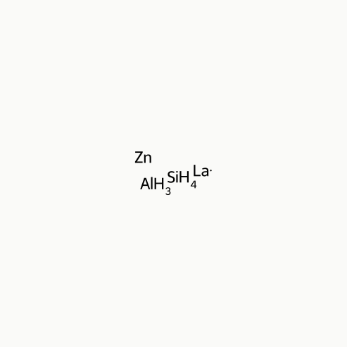 [AlH3].[La].[SiH4].[Zn]